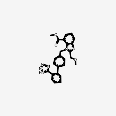 COCc1nc2cccc(C(=O)OC)c2n1Cc1ccc(-c2ccccc2-c2nnn[nH]2)cc1